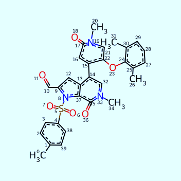 Cc1ccc(S(=O)(=O)n2c(C=O)cc3c(-c4cc(=O)n(C)cc4Oc4c(C)cccc4C)cn(C)c(=O)c32)cc1